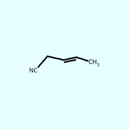 CC=[C]CC#N